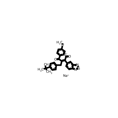 COc1ccc(C(=O)C(Cc2ccc(C(C)(C)C)cc2)=C(C(=O)[O-])c2ccc3nsnc3c2)cc1.[Na+]